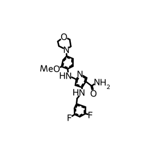 COc1cc(N2CCOCC2)ccc1Nc1cc(NCc2cc(F)cc(F)c2)c(C(N)=O)cn1